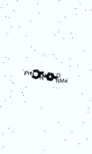 CNC(=O)c1ccc(-n2cc3c(n2)CCN(C(C)C)CC3)cc1